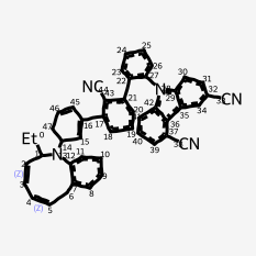 CCC1/C=C\C=C/Cc2ccccc2N1C1C=C(c2cccc(-c3ccccc3-n3c4ccc(C#N)cc4c4c(C#N)cccc43)c2C#N)C=CC1